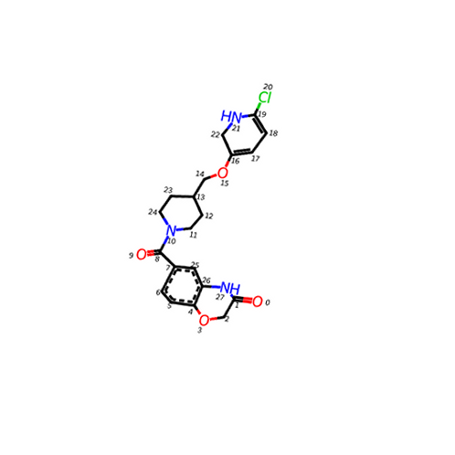 O=C1COc2ccc(C(=O)N3CCC(COC4=CC=C(Cl)NC4)CC3)cc2N1